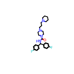 O=C(NC(c1ccc(F)cc1)c1ccc(F)cc1)N1CCN(CCCN2CCCCC2)CC1